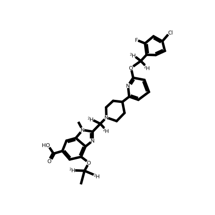 [2H]C([2H])(C)Oc1cc(C(=O)O)cc2c1nc(C([2H])([2H])N1CCC(c3cccc(OC([2H])([2H])c4ccc(Cl)cc4F)n3)CC1)n2C